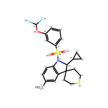 O=C(O)c1ccc2c(c1)C1(CCSCC1)C(C1CC1)N2S(=O)(=O)c1cccc(OC(F)F)c1